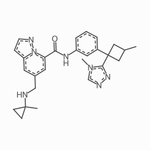 CC1CC(c2cccc(NC(=O)c3cc(CNC4(C)CC4)cc4ccnn34)c2)(c2nncn2C)C1